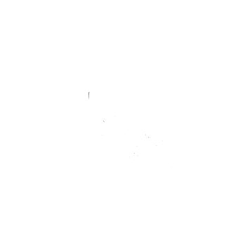 C=C[C@@H]1C[C@@H]1C1CCN(c2ncc(CC)cn2)CC1